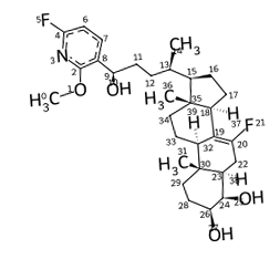 COc1nc(F)ccc1[C@H](O)CC[C@@H](C)[C@H]1CC[C@H]2C3=C(F)C[C@H]4[C@@H](O)[C@@H](O)CC[C@]4(C)[C@H]3CC[C@]12C